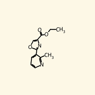 CCOC(=O)c1coc(-c2cccnc2C)n1